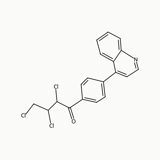 O=C(c1ccc(-c2ccnc3ccccc23)cc1)C(Cl)C(Cl)CCl